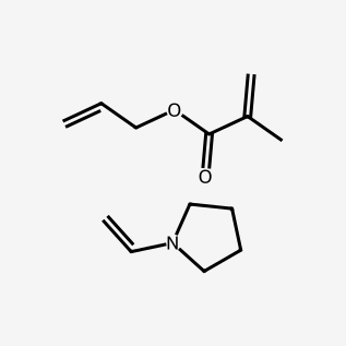 C=CCOC(=O)C(=C)C.C=CN1CCCC1